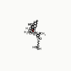 COc1cc(C(=O)OCCCCON(O)O)ccc1CC(=O)OCC(=O)[C@@]12OC(C)(C)O[C@@H]1C[C@H]1C3CCC4=CC(=O)C=C[C@]4(C)[C@@]3(F)[C@@H](O)C[C@@]12C